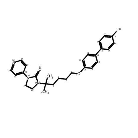 CC(C)(CCCCOc1ccc(-c2ccc(F)cc2)cc1)N1CCN(c2ccncc2)C1=O